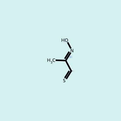 C/C([C]=S)=N\O